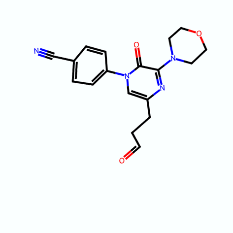 N#Cc1ccc(-n2cc(CCC=O)nc(N3CCOCC3)c2=O)cc1